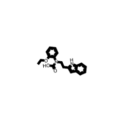 CCOc1ccccc1N(CCc1cc2ccccc2[nH]1)C(=O)O